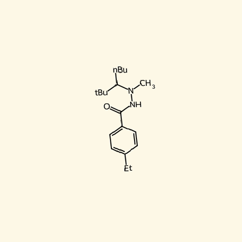 CCCCC(N(C)NC(=O)c1ccc(CC)cc1)C(C)(C)C